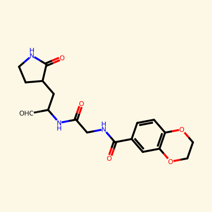 O=CC(CC1CCNC1=O)NC(=O)CNC(=O)c1ccc2c(c1)OCCO2